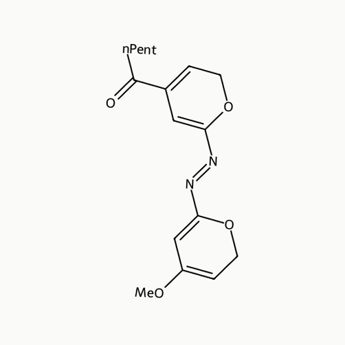 CCCCCC(=O)C1=CCOC(N=NC2=CC(OC)=CCO2)=C1